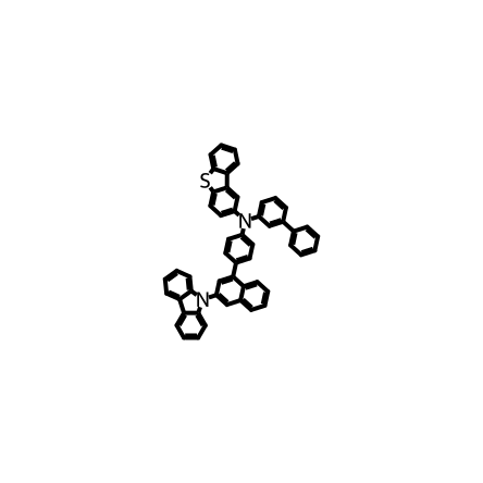 c1ccc(-c2cccc(N(c3ccc(-c4cc(-n5c6ccccc6c6ccccc65)cc5ccccc45)cc3)c3ccc4sc5ccccc5c4c3)c2)cc1